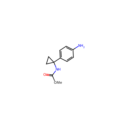 COC(=O)NC1(c2ccc(N)cc2)CC1